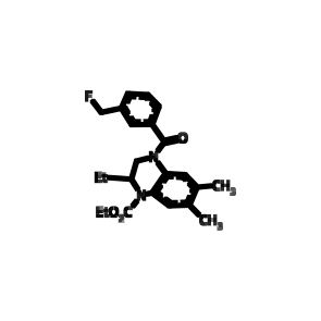 CCOC(=O)N1c2cc(C)c(C)cc2N(C(=O)c2cccc(CF)c2)CC1CC